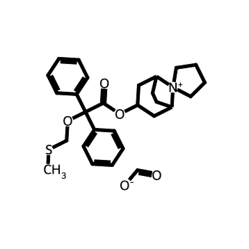 CSCOC(C(=O)OC1CC2CCC(C1)[N+]21CCCC1)(c1ccccc1)c1ccccc1.O=C[O-]